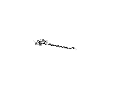 CCCCCCCCCCCCCCCCCCOC[C@@H](O)COP(=O)(O)C(C)C